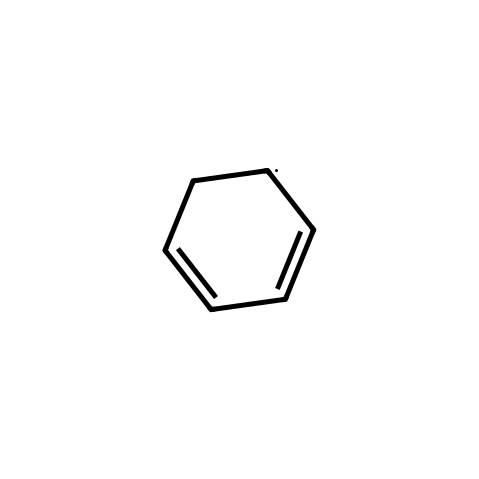 [CH]1C=CC=CC1